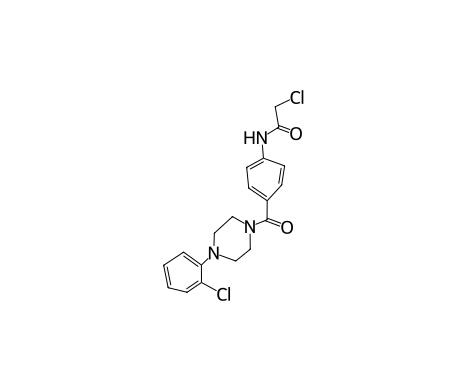 O=C(CCl)Nc1ccc(C(=O)N2CCN(c3ccccc3Cl)CC2)cc1